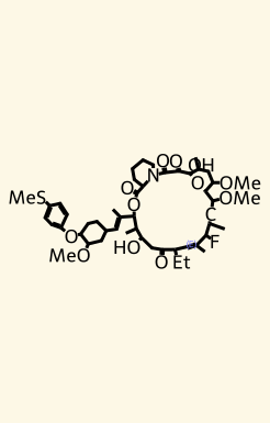 CCC1/C=C(\C)C(F)C(C)CC(OC)C2OC(O)(C(=O)C(=O)N3CCCCC3C(=O)OC(C(C)=CC3CCC(Oc4ccc(SC)cc4)C(OC)C3)C(C)C(O)CC1=O)C(C)CC2OC